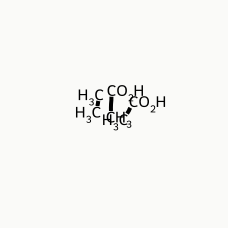 CC.CC(=O)O.CC(=O)O